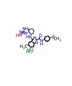 COc1ccc(NC(=O)c2nc(N[C@H]3CCCC[C@H]3N/C(N)=N\O)c3cc(C)ccc3n2)cc1.Cl.Cl